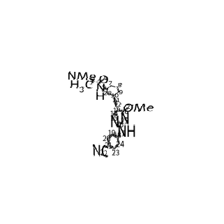 CN[C@@H](C)C(=O)N[C@H]1CCC[C@@H](C#Cc2cnc(Nc3ccc(C#N)cc3)nc2OC)C1